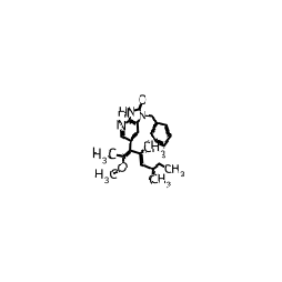 CCC(C)/C=C(C)/C(=C(/C)OC)c1cnc2[nH]c(=O)n(Cc3ccccc3)c2c1